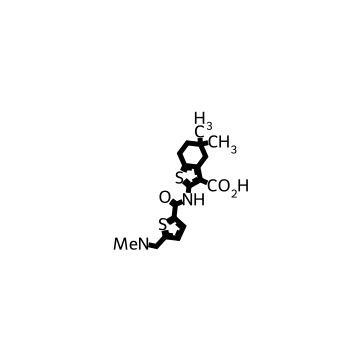 CNCc1ccc(C(=O)Nc2sc3c(c2C(=O)O)CC(C)(C)CC3)s1